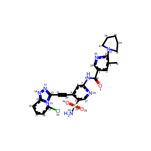 Cc1cc(C(=O)Nc2cc(C#Cc3nnc4cccc(Cl)n34)c(S(N)(=O)=O)cn2)cnc1N1CCCCC1